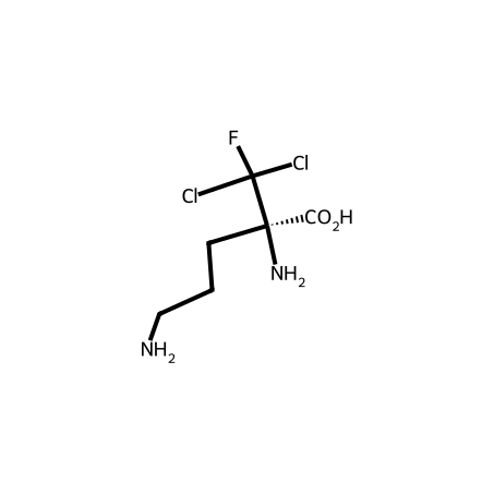 NCCC[C@@](N)(C(=O)O)C(F)(Cl)Cl